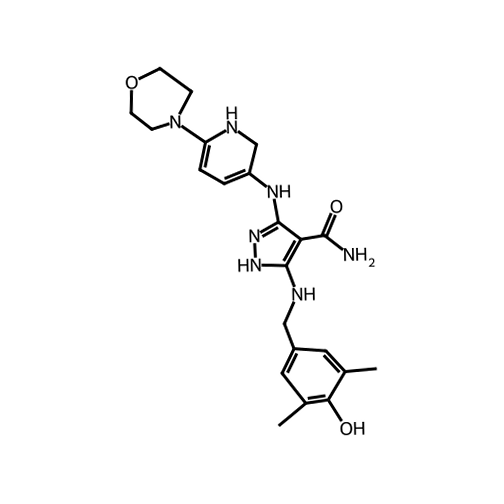 Cc1cc(CNc2[nH]nc(NC3=CC=C(N4CCOCC4)NC3)c2C(N)=O)cc(C)c1O